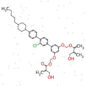 C=C(CO)C(=C)OCOc1cc(OCOC(=O)C(=C)CO)cc(-c2ccc(-c3ccc(C4CCC(CCCCC)CC4)cc3)c(Cl)c2)c1